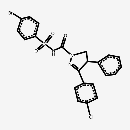 O=C(NS(=O)(=O)c1ccc(Br)cc1)N1CC(c2ccccc2)C(c2ccc(Cl)cc2)=N1